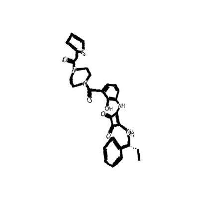 CC[C@@H](Nc1c(Nc2cccc(C(=O)N3CCN(C(=O)c4cccs4)CC3)c2O)c(=O)c1=O)c1ccccc1